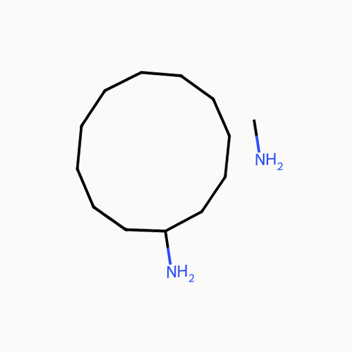 CN.NC1CCCCCCCCCCC1